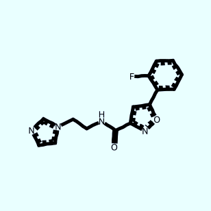 O=C(NCCn1ccnc1)c1cc(-c2ccccc2F)on1